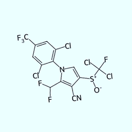 N#Cc1c([S+]([O-])C(F)(Cl)Cl)cn(-c2c(Cl)cc(C(F)(F)F)cc2Cl)c1C(F)F